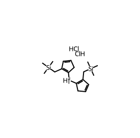 C[Si](C)(C)CC1=[C]([Hf][C]2=C(C[Si](C)(C)C)C=CC2)CC=C1.Cl.Cl